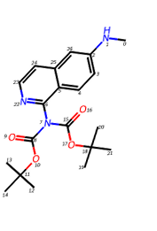 CNc1ccc2c(N(C(=O)OC(C)(C)C)C(=O)OC(C)(C)C)nccc2c1